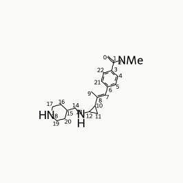 C=C(NC)c1ccc(/C=C(\C)C2CC2NCC2CCNCC2)cc1